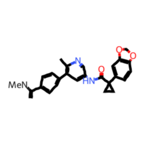 C=C(NC)c1ccc(-c2cc(NC(=O)C3(c4ccc5c(c4)OCO5)CC3)cnc2C)cc1